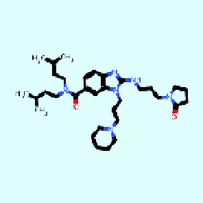 CC(C)CCN(CCC(C)C)C(=O)c1ccc2nc(NCCCN3CCCC3=O)n(CCCN3CCCCC3)c2c1